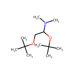 CN(C)C(COC(C)(C)C)OC(C)(C)C